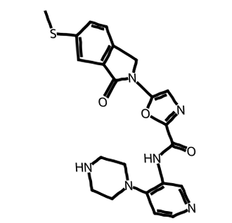 CSc1ccc2c(c1)C(=O)N(c1cnc(C(=O)Nc3cnccc3N3CCNCC3)o1)C2